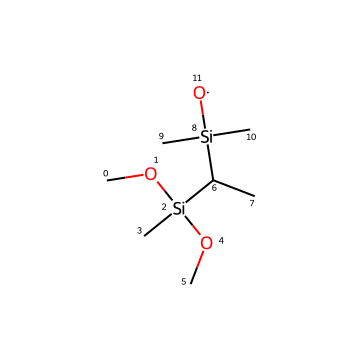 CO[Si](C)(OC)C(C)[Si](C)(C)[O]